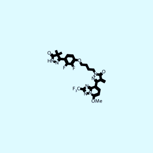 C=C1C(=O)N(CCCCOc2ccc(C3=NNC(=O)C3(C)C)c(F)c2F)N=C1c1ccc(OC)n2nc(C(F)(F)F)nc12